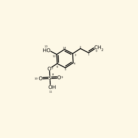 C=CCc1ccc(OS(=O)(=O)O)c(O)c1